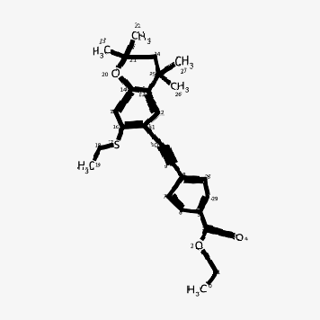 CCOC(=O)c1ccc(C#Cc2cc3c(cc2SCC)OC(C)(C)CC3(C)C)cc1